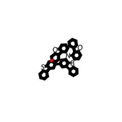 c1ccc2c(c1)B1c3ccc4oc5ccccc5c4c3N(c3cccc4oc5ccccc5c34)c3cc(-c4ccc5sc6ccccc6c5c4)cc-2c31